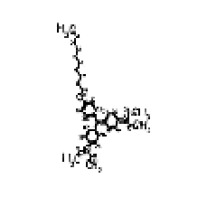 CCCCCCCCCCOc1ccc(C(c2ccc(N(CC)CC)cc2)c2ccc(N(CC)CC)cc2)cc1